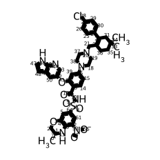 C[C@@H]1COc2cc(S(=O)(=O)NC(=O)c3ccc(N4CCN(CC5=C(c6ccc(Cl)cc6)CC(C)(C)CC5)CC4)cc3Oc3cnc4[nH]ccc4c3)cc([N+](=O)[O-])c2N1